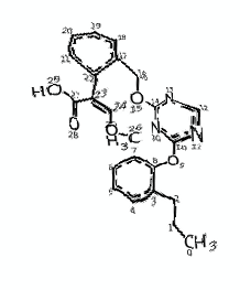 CCCc1ccccc1Oc1ncnc(OCc2ccccc2C(=COC)C(=O)O)n1